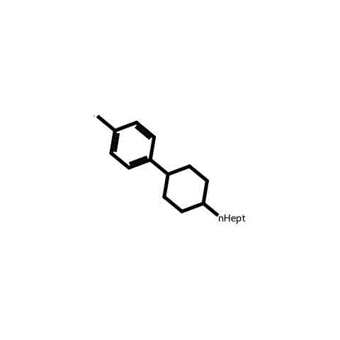 [CH2]c1ccc(C2CCC(CCCCCCC)CC2)cc1